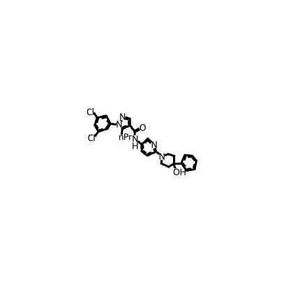 CCCc1c(C(=O)Nc2ccc(N3CCC(O)(c4ccccc4)CC3)nc2)cnn1-c1cc(Cl)cc(Cl)c1